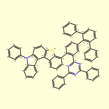 c1ccc(-c2nc(-c3ccccc3)nc(-c3cc(-c4c(-c5ccccc5)cccc4-c4ccccc4)ccc3-c3cccc4c3sc3ccc5c(c6ccccc6n5-c5ccccc5)c34)n2)cc1